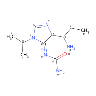 CCC(N)C1N=CN(C(C)C)/C1=N/C(N)=O